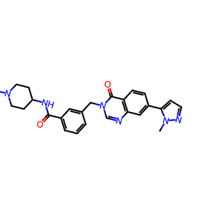 CN1CCC(NC(=O)c2cccc(Cn3cnc4cc(-c5ccnn5C)ccc4c3=O)c2)CC1